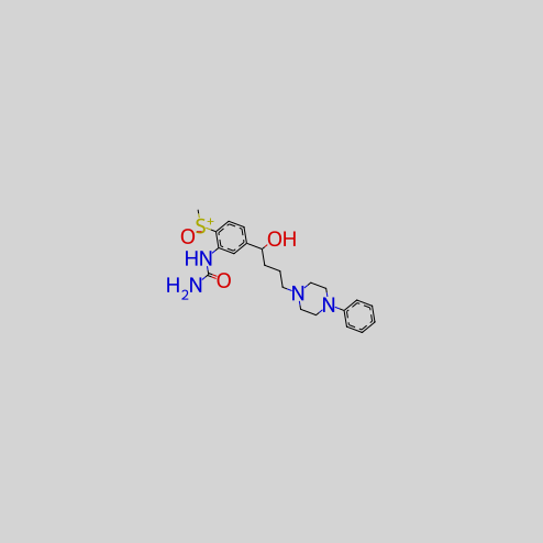 C[S+]([O-])c1ccc(C(O)CCCN2CCN(c3ccccc3)CC2)cc1NC(N)=O